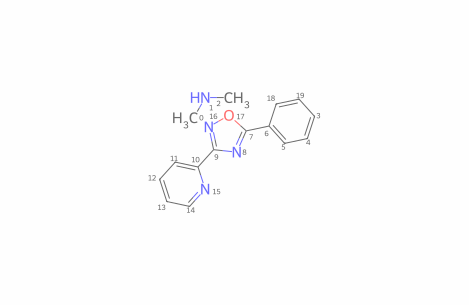 CNC.c1ccc(-c2nc(-c3ccccn3)no2)cc1